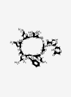 CC(C)C[C@@H]1NC(O)[C@@H](Cc2ccccc2)NC(=O)[C@H](CCN)NC(=O)[C@@H](NC(=O)[C@@H](CO)NC(=O)[C@@H]2COCC(=O)N2)CCNC(=O)[C@H]([C@@H](C)O)NC(=O)[C@H](CCN)NC(=O)[C@H](CCN)NC1=O